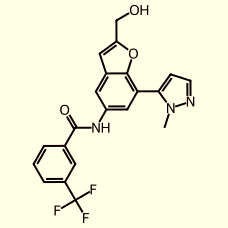 Cn1nccc1-c1cc(NC(=O)c2cccc(C(F)(F)F)c2)cc2cc(CO)oc12